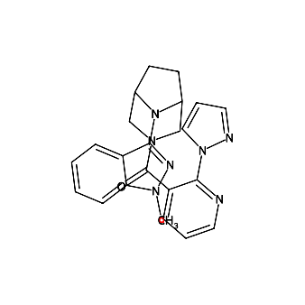 Cn1nc(N2C3CCC2CN(C(=O)c2cccnc2-n2cccn2)C3)c2ccccc21